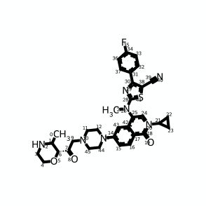 CC1NCCO[C@H]1C(=O)CN1CCN(c2ccc3c(=O)n(C4CC4)cc(N(C)c4nc(-c5ccc(F)cc5)c(C#N)s4)c3c2)CC1